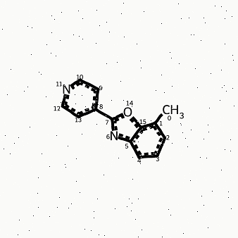 Cc1cccc2nc(-c3ccncc3)oc12